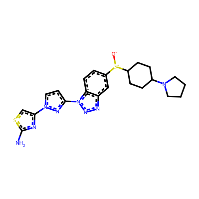 Nc1nc(-n2ccc(-n3nnc4cc([S+]([O-])C5CCC(N6CCCC6)CC5)ccc43)n2)cs1